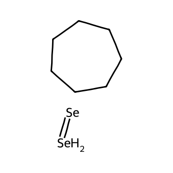 C1CCCCCC1.[Se]=[SeH2]